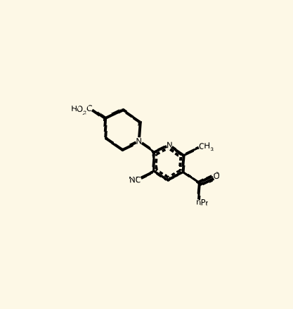 CCCC(=O)c1cc(C#N)c(N2CCC(C(=O)O)CC2)nc1C